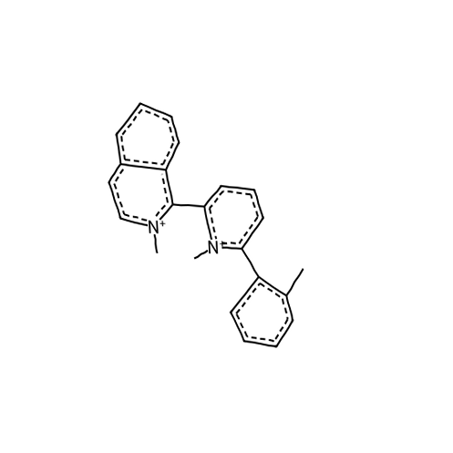 Cc1ccccc1-c1cccc(-c2c3ccccc3cc[n+]2C)[n+]1C